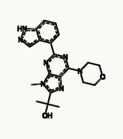 Cn1c(C(C)(C)O)nc2c(N3CCOCC3)nc(-c3cccc4[nH]ncc34)nc21